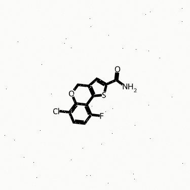 NC(=O)c1cc2c(s1)-c1c(F)ccc(Cl)c1OC2